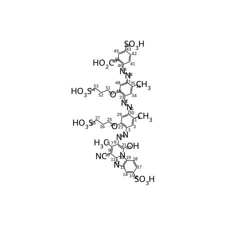 Cc1cc(N=Nc2c(C)c(C#N)c3nc4cc(S(=O)(=O)O)ccc4n3c2O)c(OCCCS(=O)(=O)O)cc1N=Nc1cc(C)c(N=Nc2ccc(S(=O)(=O)O)cc2C(=O)O)cc1OCCCS(=O)(=O)O